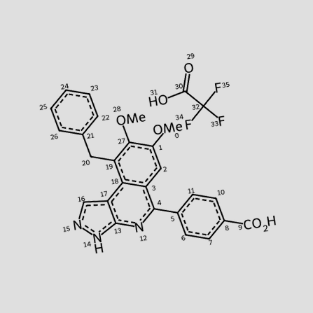 COc1cc2c(-c3ccc(C(=O)O)cc3)nc3[nH]ncc3c2c(Cc2ccccc2)c1OC.O=C(O)C(F)(F)F